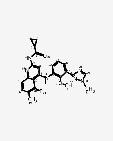 COc1c(Nc2cc(NC(=O)C3CC3)nc3ccc(C)c(F)c23)cccc1-c1ncn(C)n1